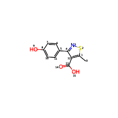 Cc1snc(-c2ccc(O)cc2)c1C(=O)O